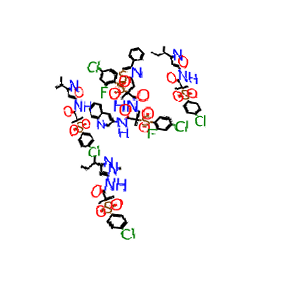 CC(C)c1cc(NC(=O)C(C)(C)S(=O)(=O)c2ccc(Cl)cc2)on1.CC(Cc1nc(-c2ccccc2)cs1)(C(=O)NCC(C)(C(=O)Nc1cnc2ccccc2c1)S(=O)(=O)c1ccc(Cl)cc1F)S(=O)(=O)c1ccc(Cl)cc1F.CCC(C)c1cc(NC(=O)C(C)(C)S(=O)(=O)c2ccc(Cl)cc2)n(C)n1.CCC(C)c1cc(NC(=O)C(C)(C)S(=O)(=O)c2ccc(Cl)cc2)on1